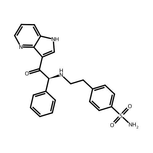 NS(=O)(=O)c1ccc(CCN[C@H](C(=O)c2c[nH]c3cccnc23)c2ccccc2)cc1